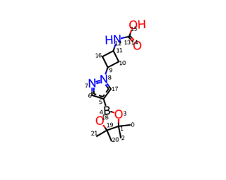 CC1(C)OB(c2cnn(C3CC(NC(=O)O)C3)c2)OC1(C)C